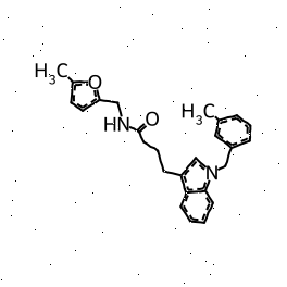 Cc1cccc(Cn2cc(CCCC(=O)NCc3ccc(C)o3)c3ccccc32)c1